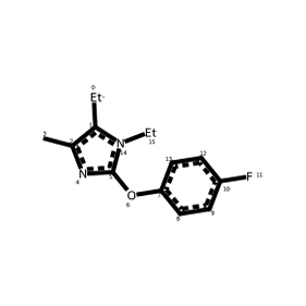 C[CH]c1c(C)nc(Oc2ccc(F)cc2)n1CC